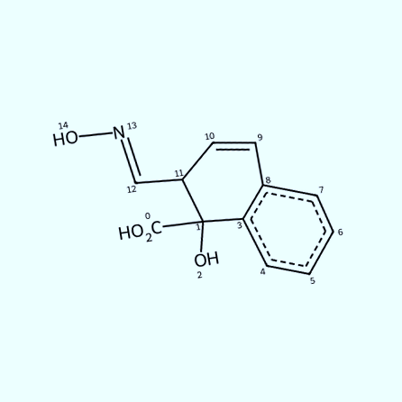 O=C(O)C1(O)c2ccccc2C=CC1C=NO